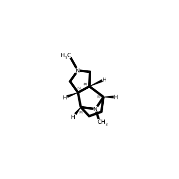 CN1C[C@@H]2[C@H](C1)[C@@H]1CC[C@H]2N1C